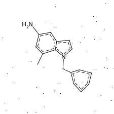 Cc1cc(N)cc2ccn(Cc3ccccc3)c12